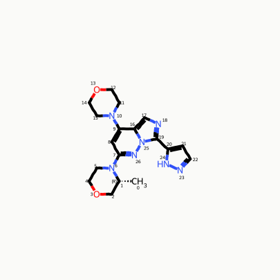 C[C@@H]1COCCN1c1cc(N2CCOCC2)c2cnc(-c3ccn[nH]3)n2n1